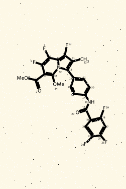 COC(=O)c1c(F)c(F)c2c(F)c(C)c(-c3ccc(NC(=O)c4cc(F)c(F)cc4F)cc3)n2c1OC